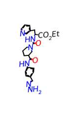 CCOC(=O)C(Cc1cccnc1)NC(=O)N1CCCC(C(=O)Nc2ccc(C=NN)cc2)C1